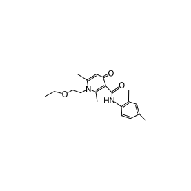 CCOCCn1c(C)cc(=O)c(C(=O)Nc2ccc(C)cc2C)c1C